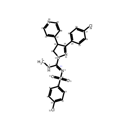 CN/C(=N\S(=O)(=O)c1ccc(Cl)cc1)N1CC(c2ccncc2)C(c2ccc(Cl)cc2)=N1